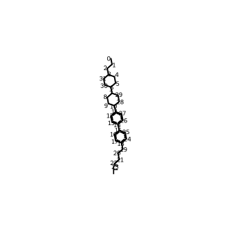 CCCC1CCC(C2CCC(c3ccc(-c4ccc(CCCCF)cc4)cc3)CC2)CC1